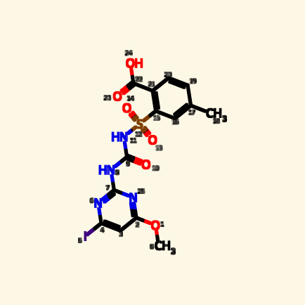 COc1cc(I)nc(NC(=O)NS(=O)(=O)c2cc(C)ccc2C(=O)O)n1